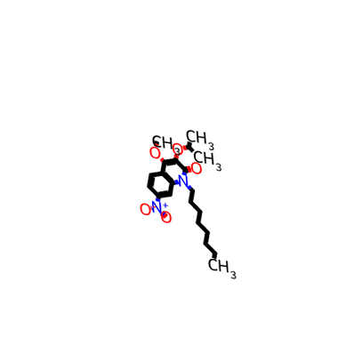 CCCCCCCCn1c(=O)c(OC(C)C)c(OC)c2ccc([N+](=O)[O-])cc21